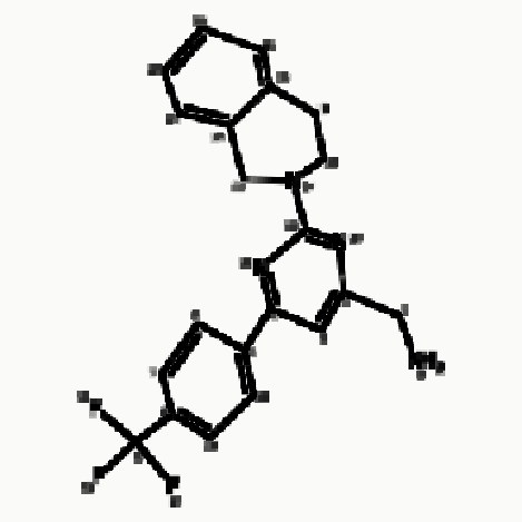 NCc1cc(-c2ccc(C(F)(F)F)cc2)nc(N2CCc3ccccc3C2)n1